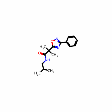 CC(C)CNC(=O)C(C)(C)c1nc(-c2ccccc2)no1